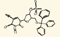 C#Cc1cn(C2CC(OS(C)(=O)=O)C(COC(c3ccccc3)(c3ccccc3)c3ccccc3)O2)c(=O)[nH]c1=O